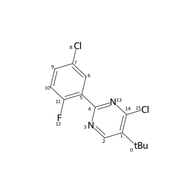 CC(C)(C)c1cnc(-c2cc(Cl)ccc2F)nc1Cl